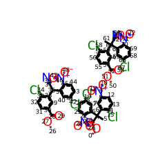 COC(=O)C(C)(c1cc([N+](=O)[O-])ccc1Cl)c1cc(Cl)ccc1[N+](=O)[O-].COC(=O)c1ccc(Cl)c(C(C#N)c2cc(Cl)ccc2[N+](=O)[O-])c1.COC(=O)c1ccc(Cl)c(C(C)(C#N)c2cc(Cl)ccc2[N+](=O)[O-])c1